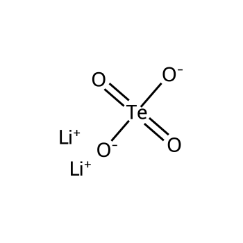 O=[Te](=O)([O-])[O-].[Li+].[Li+]